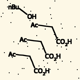 CC(=O)CC(=O)O.CC(=O)CC(=O)O.CC(=O)CC(=O)O.CCCCO